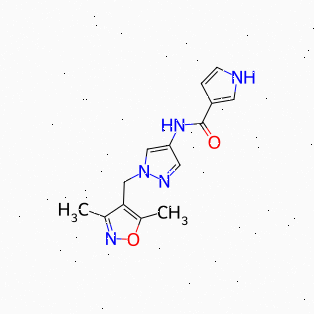 Cc1noc(C)c1Cn1cc(NC(=O)c2cc[nH]c2)cn1